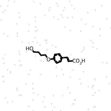 O=C(O)C=Cc1ccc(OCCCCO)cc1